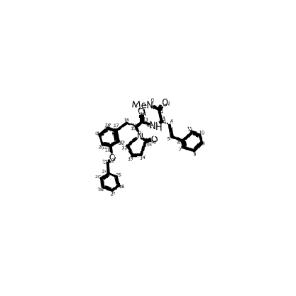 CNC(=O)[C@H](CCc1ccccc1)NC(=O)[C@H](Cc1cccc(OCc2ccccc2)c1)N1CCCC1=O